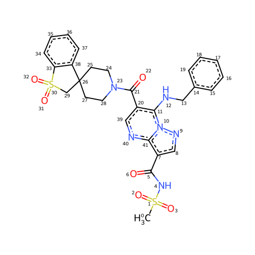 CS(=O)(=O)NC(=O)c1cnn2c(NCc3ccccc3)c(C(=O)N3CCC4(CC3)CS(=O)(=O)c3ccccc34)cnc12